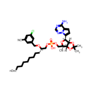 CCCCCCCCCCCCCCCCCC[C@@H](COP(=O)(O)OC[C@@]1(C#N)O[C@@H](c2ccc3c(N)ncnn23)[C@@H]2OC(C)(C)O[C@@H]21)OCc1cc(Cl)cc(C#N)c1